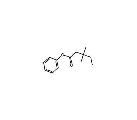 CCC(C)(C)CC(=O)Oc1ccccc1